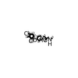 CNCC(O)CN1CCC(Oc2ccc(Cl)c(C)c2Cl)CC1